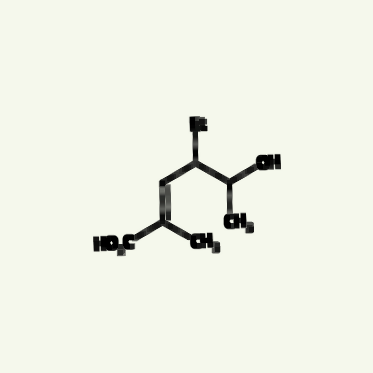 CCC(C=C(C)C(=O)O)C(C)O